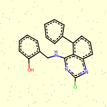 Oc1ccccc1CNc1nc(Cl)nc2cccc(-c3ccccc3)c12